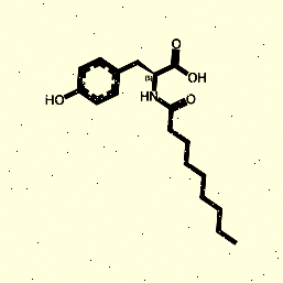 CCCCCCCCC(=O)N[C@@H](Cc1ccc(O)cc1)C(=O)O